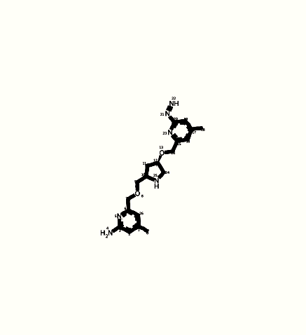 Cc1cc(N)nc(COCC2C[C@@H](OCc3cc(C)cc(N=N)n3)CN2)c1